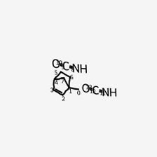 CC12C=CC(CC1)C2.N=C=O.N=C=O